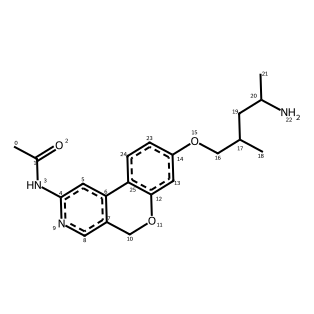 CC(=O)Nc1cc2c(cn1)COc1cc(OCC(C)CC(C)N)ccc1-2